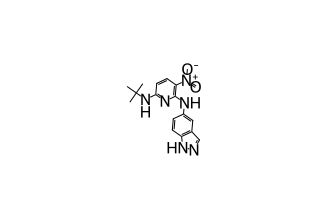 CC(C)(C)Nc1ccc([N+](=O)[O-])c(Nc2ccc3[nH]ncc3c2)n1